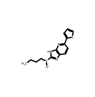 CCCC[S+]([O-])c1nc2ccc(-c3cccs3)nc2[nH]1